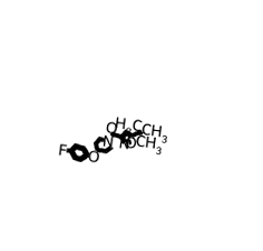 CC(C)(C)c1cc(C(=O)N2CCC(Oc3ccc(F)cc3)CC2)no1